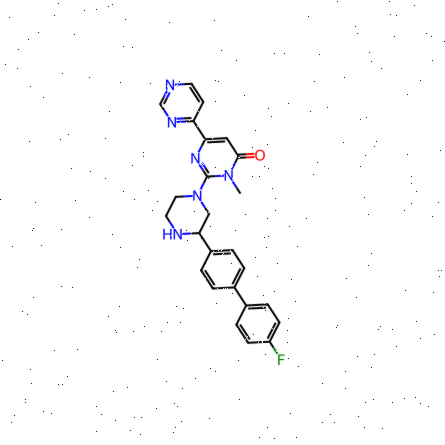 Cn1c(N2CCNC(c3ccc(-c4ccc(F)cc4)cc3)C2)nc(-c2ccncn2)cc1=O